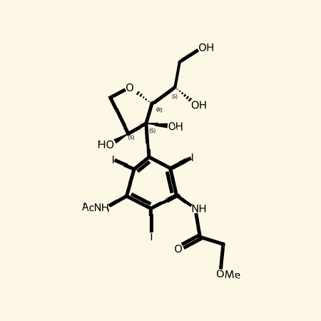 COCC(=O)Nc1c(I)c(NC(C)=O)c(I)c([C@@]2(O)[C@@H]([C@@H](O)CO)OC[C@@H]2O)c1I